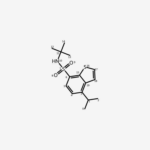 CC(C)c1ccc(S(=O)(=O)NC(C)(C)C)c2sccc12